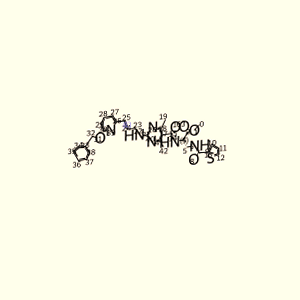 COC(=O)[C@H](CNC(=O)c1cccs1)NC(=O)c1c(C)nc(NC/C=C/c2cccc(OCc3ccccc3)n2)nc1C